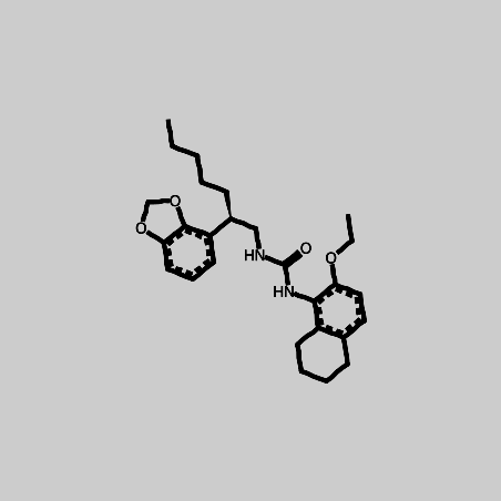 CCCCC[C@@H](CNC(=O)Nc1c(OCC)ccc2c1CCCC2)c1cccc2c1OCO2